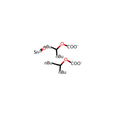 CCCCC(CCCC)OC(=O)[O-].CCCCC(CCCC)OC(=O)[O-].[O]=[Sn+2]